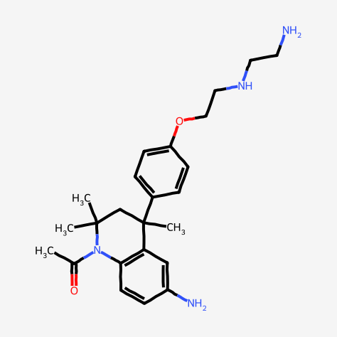 CC(=O)N1c2ccc(N)cc2C(C)(c2ccc(OCCNCCN)cc2)CC1(C)C